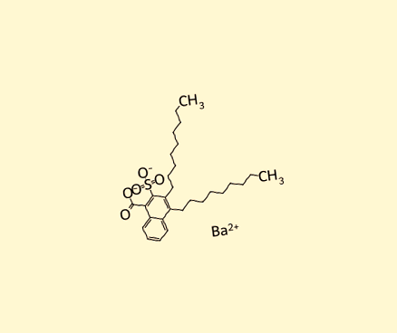 CCCCCCCCCc1c(S(=O)(=O)[O-])c(C(=O)[O-])c2ccccc2c1CCCCCCCCC.[Ba+2]